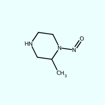 CC1CNCCN1N=O